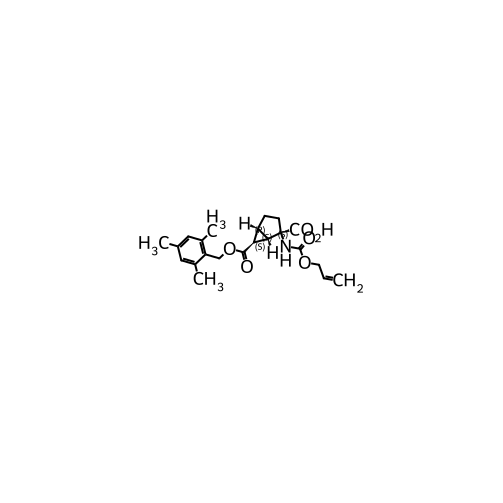 C=CCOC(=O)N[C@@]1(C(=O)O)CC[C@H]2[C@H](C(=O)OCc3c(C)cc(C)cc3C)[C@H]21